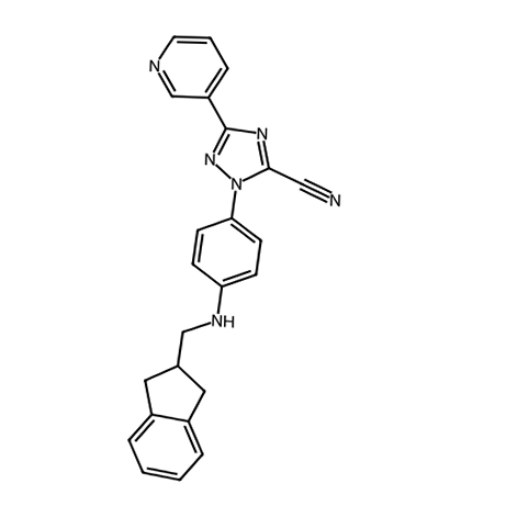 N#Cc1nc(-c2cccnc2)nn1-c1ccc(NCC2Cc3ccccc3C2)cc1